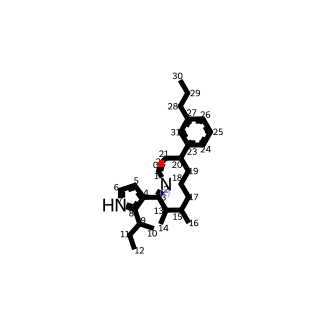 C=C/N=C(\c1cc[nH]c1C(C)CC)C(C)C(C)CCCC(CC)c1cccc(CCC)c1